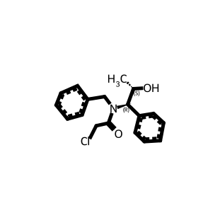 C[C@H](O)[C@@H](c1ccccc1)N(Cc1ccccc1)C(=O)CCl